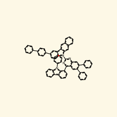 c1ccc(-c2ccc(-c3ccc4c(c3)c3cc5ccccc5cc3n4-c3nc(-c4cccc5c6ccccc6n(-c6ccccc6)c45)c4cc(-c5ccccc5)c(-c5ccccc5)cc4n3)cc2)cc1